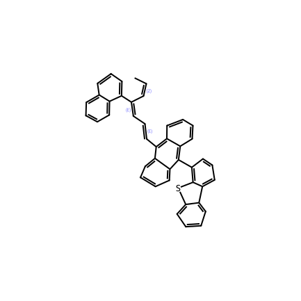 C\C=C/C(=C\C=C\c1c2ccccc2c(-c2cccc3c2sc2ccccc23)c2ccccc12)c1cccc2ccccc12